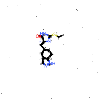 CCSC1=N/C(=C\c2ccc3[nH]ncc3c2)C(=O)N1